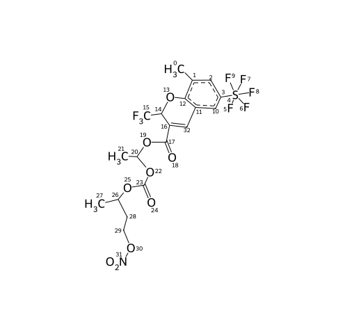 Cc1cc(S(F)(F)(F)(F)F)cc2c1OC(C(F)(F)F)C(C(=O)OC(C)OC(=O)OC(C)CCO[N+](=O)[O-])=C2